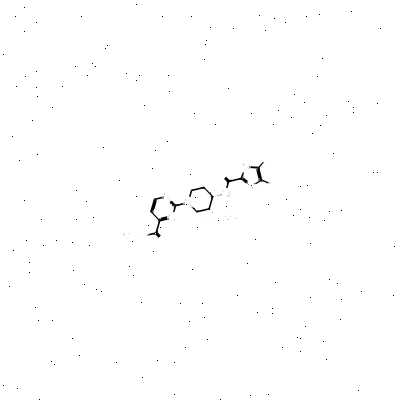 CCc1[nH]c(C(=O)N[C@@H]2CCN(c3nccc(C(=O)OC)n3)C[C@@H]2OC)nc1Cl